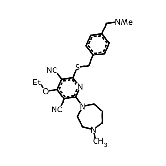 CCOc1c(C#N)c(SCc2ccc(CNC)cc2)nc(N2CCCN(C)CC2)c1C#N